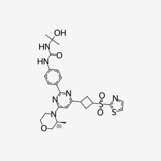 C[C@H]1COCCN1c1cc(C2CC(S(=O)(=O)c3nccs3)C2)nc(-c2ccc(NC(=O)NC(C)(C)O)cc2)n1